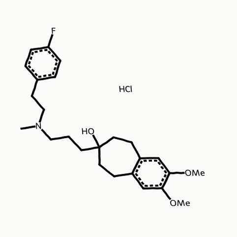 COc1cc2c(cc1OC)CCC(O)(CCCN(C)CCc1ccc(F)cc1)CC2.Cl